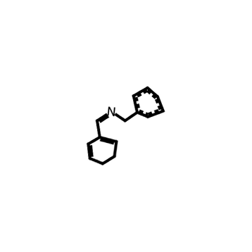 C1=CC(/C=N\Cc2ccccc2)=CCC1